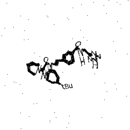 CC(C)(C)C1CCC2(CC1)N=C(N1CCCCC1)C(=O)N2CCc1ccc(C(=O)NCc2nn[nH]n2)cc1